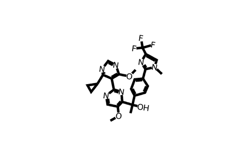 COc1cnc(-c2c(OC)ncnc2C2CC2)nc1C(C)(O)c1ccc(-c2nc(C(F)(F)F)cn2C)cc1